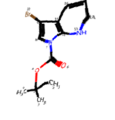 CC(C)(C)OC(=O)n1cc(Br)c2c1NCC=C2